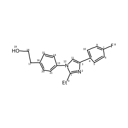 CCc1nc(-c2ccc(F)cc2)cn1-c1ccc(CCO)cc1